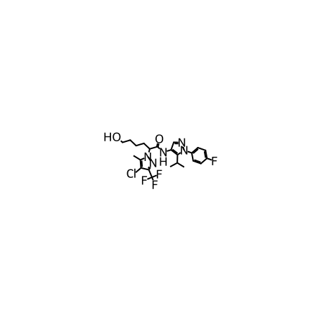 Cc1c(Cl)c(C(F)(F)F)nn1C(CCCCO)C(=O)Nc1cnn(-c2ccc(F)cc2)c1C(C)C